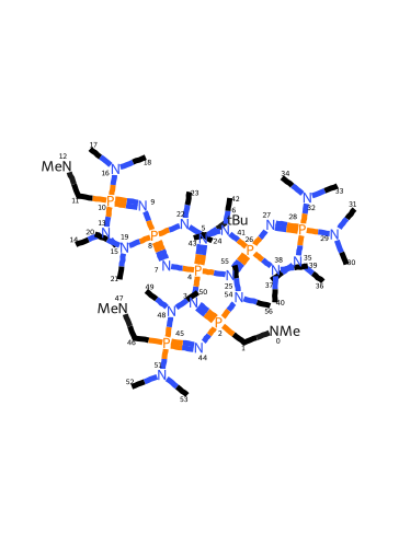 CNCP(=NP(=NC(C)(C)C)(N=P(N=P(CNC)(N(C)C)N(C)C)(N(C)C)N(C)C)N=P(N=P(N(C)C)(N(C)C)N(C)C)(N(C)C)N(C)C)(N=P(CNC)(N(C)C)N(C)C)N(C)C